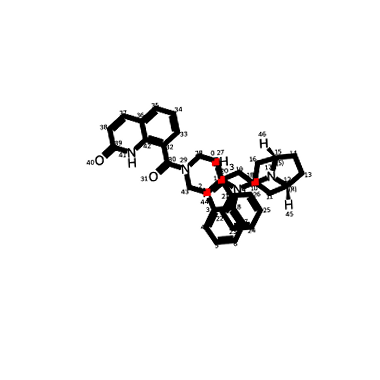 Cc1nc2ccccc2n1C1C[C@H]2CC[C@@H](C1)N2CCC1(c2ccccc2)CCN(C(=O)c2cccc3ccc(=O)[nH]c23)CC1